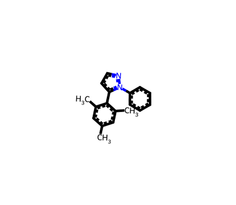 Cc1cc(C)c(-c2ccnn2-c2ccccc2)c(C)c1